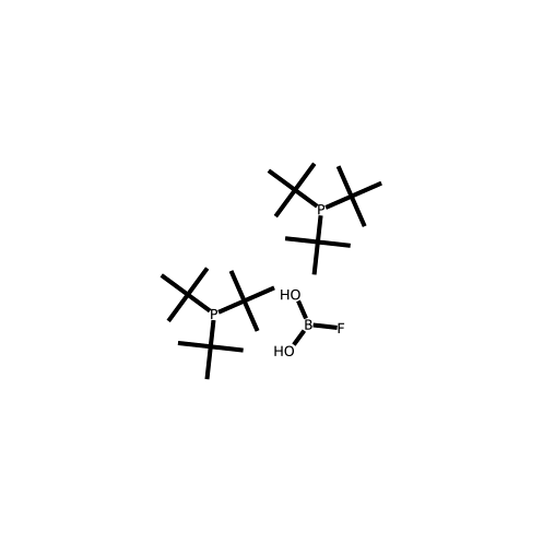 CC(C)(C)P(C(C)(C)C)C(C)(C)C.CC(C)(C)P(C(C)(C)C)C(C)(C)C.OB(O)F